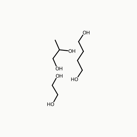 CC(O)CO.OCCCCO.OCCO